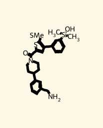 CSc1sc(C(=O)N2CCC(c3cccc(CN)c3)CC2)cc1-c1cccc([Si](C)(C)O)c1